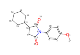 COc1ccc(N2C(=O)CC(C3CCCCC3)C2=O)cc1